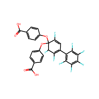 O=C(O)c1ccc(OC2(Oc3ccc(C(=O)O)cc3)C(F)=CC(c3c(F)c(F)c(F)c(F)c3F)=C(F)C2F)cc1